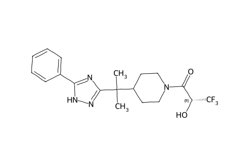 CC(C)(c1n[nH]c(-c2ccccc2)n1)C1CCN(C(=O)[C@@H](O)C(F)(F)F)CC1